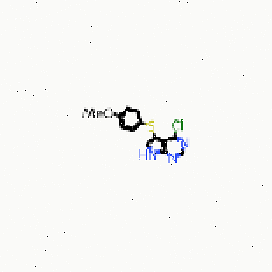 COc1ccc(Sc2c[nH]c3ncnc(Cl)c23)cc1